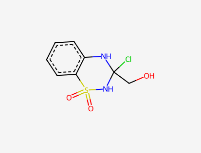 O=S1(=O)NC(Cl)(CO)Nc2ccccc21